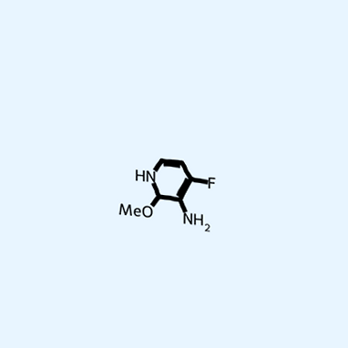 COC1NC=CC(F)=C1N